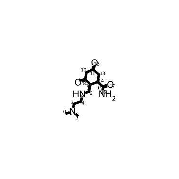 CN(C)CCNC=C1C(=O)CC(=O)CC1C(N)=O